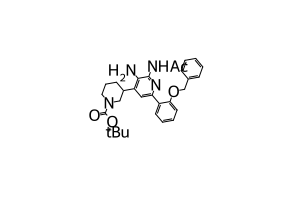 CC(=O)Nc1nc(-c2ccccc2OCc2ccccc2)cc(C2CCCN(C(=O)OC(C)(C)C)C2)c1N